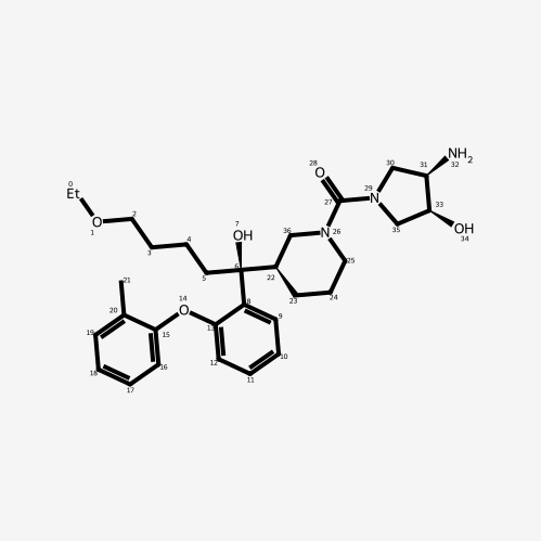 CCOCCCC[C@@](O)(c1ccccc1Oc1ccccc1C)[C@@H]1CCCN(C(=O)N2C[C@@H](N)[C@@H](O)C2)C1